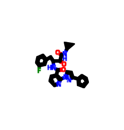 O=C(NC1CC1)C(=O)C(Cc1cccc(F)c1)NC(=O)c1cccnc1-n1ccc(-c2ccccc2)n1